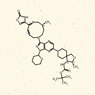 C[C@H]1CCN(c2nn(C3CCCCO3)c3nc(N4CCC5(CC4)CO[C@@H](C)[C@H]5NC(=O)OC(C)(C)C)cnc23)C/C=C\C(c2noc(=O)[nH]2)=N/C1